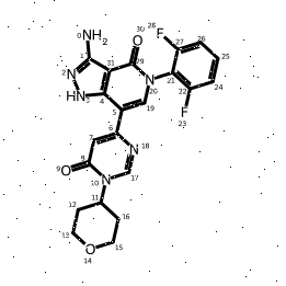 Nc1n[nH]c2c(-c3cc(=O)n(C4CCOCC4)cn3)cn(-c3c(F)cccc3F)c(=O)c12